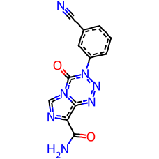 N#Cc1cccc(-n2nnc3c(C(N)=O)ncn3c2=O)c1